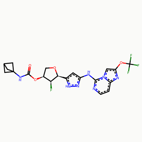 O=C(NC12CC(C1)C2)O[C@H]1CO[C@@H](c2cc(Nc3nccc4nc(OC(F)(F)F)cn34)n[nH]2)[C@H]1F